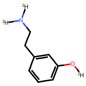 [2H]Oc1cccc(CCN([2H])[2H])c1